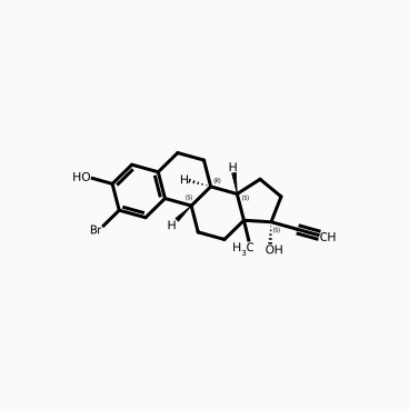 C#C[C@]1(O)CC[C@H]2[C@@H]3CCc4cc(O)c(Br)cc4[C@H]3CCC21C